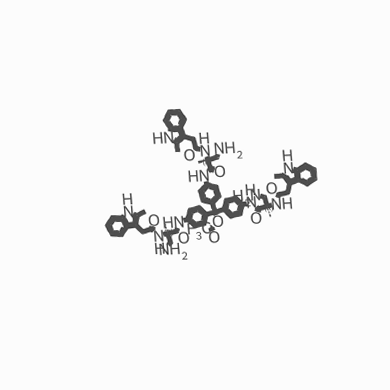 Cc1[nH]c2ccccc2c1CC(=O)N[C@](C)(CN)C(=O)Nc1ccc(C(OC(=O)C(F)(F)F)(c2ccc(NC(=O)[C@@](C)(CN)NC(=O)Cc3c(C)[nH]c4ccccc34)cc2)c2ccc(NC(=O)[C@@](C)(CN)NC(=O)Cc3c(C)[nH]c4ccccc34)cc2)cc1